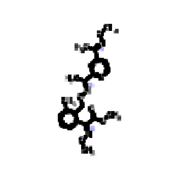 CO/N=C(\C)c1ccnc(/C(C)=N/OCc2c(C)cccc2/C(=N\OC)C(=O)OC)c1